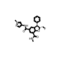 CNC(=O)c1cc(C(=O)Nc2cnn(C)c2)cc2c1O[C@@H](CF)[C@@H]2c1ccccc1